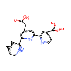 O=C(O)c1ccnc(-c2cc(C(=O)O)cc(-c3ccccn3)n2)c1